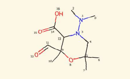 CN(C)N1CC(C)(C)OC(C)(C=O)C1C(=O)O